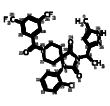 Cc1cc(C(C)N2C(=O)N(c3ccccc3Cl)C3(CCN(C(=O)c4cc(C(F)(F)F)cc(C(F)(F)F)c4)CC3)C2=O)n[nH]1